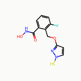 O=C(NO)c1cccc(F)c1COc1ccn(S)n1